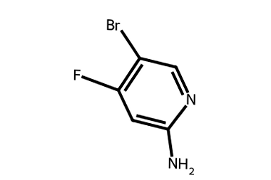 Nc1cc(F)c(Br)cn1